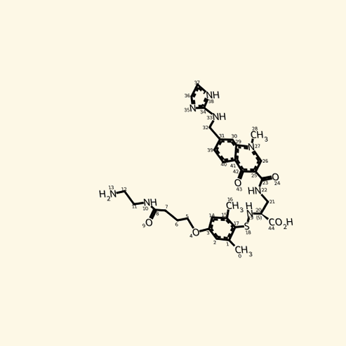 Cc1cc(OCCCC(=O)NCCN)cc(C)c1SN[C@@H](CNC(=O)c1cn(C)c2cc(CNc3ncc[nH]3)ccc2c1=O)C(=O)O